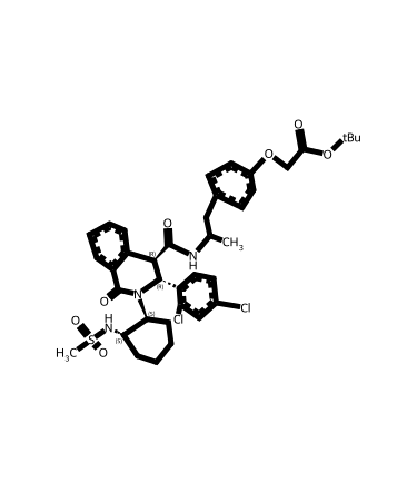 CC(Cc1ccc(OCC(=O)OC(C)(C)C)cc1)NC(=O)[C@@H]1c2ccccc2C(=O)N([C@H]2CCCC[C@@H]2NS(C)(=O)=O)[C@H]1c1ccc(Cl)cc1Cl